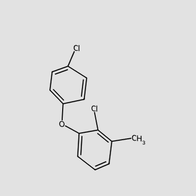 Cc1cccc(Oc2ccc(Cl)cc2)c1Cl